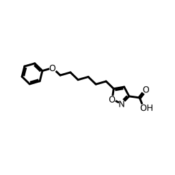 O=C(O)c1cc(CCCCCCOc2ccccc2)on1